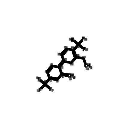 C=c1cc(C(F)(F)F)cc/c1=C1\C=CC(C(F)(F)F)=C(CC)C1